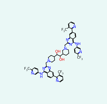 OC(C1CCN(Cc2nc(Nc3ccc(C(F)(F)F)nc3)c3ccc(-c4ncccc4C(F)(F)F)cc3n2)CC1)C(O)C1CCCN(Cc2nc(Nc3ccc(C(F)(F)F)nc3)c3ccc(-c4ncccc4C(F)(F)F)cc3n2)C1